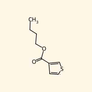 CCCCOC(=O)c1c[c]sc1